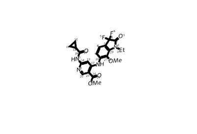 CCN1C(=O)C(F)(F)c2ccc(Nc3cc(NC(=O)C4CC4)ncc3C(=O)OC)c(OC)c21